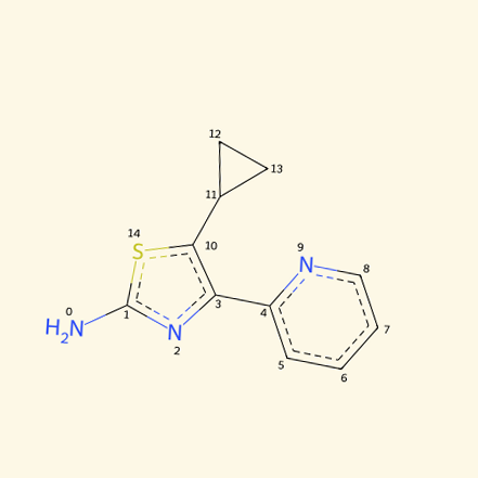 Nc1nc(-c2ccccn2)c(C2CC2)s1